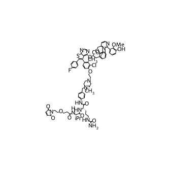 COc1c(O)cccc1-c1nccc(COc2ccccc2C[C@@H](Oc2ncnc3sc(-c4ccc(F)cc4)c(-c4ccc(OCCN5CC[N+](C)(Cc6ccc(NC(=O)[C@H](CCCNC(N)=O)NC(=O)[C@@H](NC(=O)CCOCCN7C(=O)C=CC7=O)C(C)C)cc6)CC5)c(Cl)c4C)c23)C(=O)O)n1